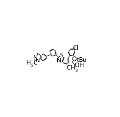 Cc1cc2nc(-c3cccc(-c4ccc5c(cnn5C)c4)c3)sc2c(-c2ccc(Cl)cc2)c1C(CO)OC(C)(C)C